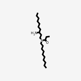 CCCCCCCCCCN(CCC(N)CCCCCCC)C(=O)CC